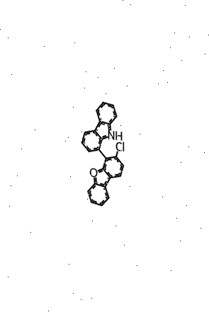 Clc1ccc2c(oc3ccccc32)c1-c1cccc2c1[nH]c1ccccc12